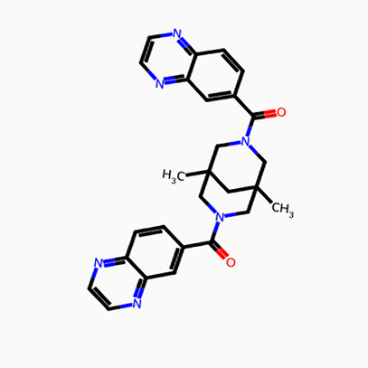 CC12CN(C(=O)c3ccc4nccnc4c3)CC(C)(CN(C(=O)c3ccc4nccnc4c3)C1)C2